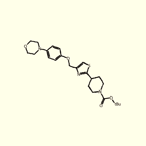 CC(C)(C)OC(=O)N1CCC(c2nc(COc3ccc(N4CCOCC4)cc3)cs2)CC1